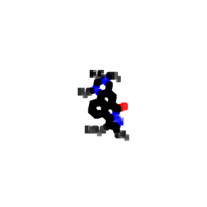 CCOC(=O)c1c(C)nn2c(=O)c3cc4c(c5cccc(c53)c12)N(C)C[N+](C)(C)C4